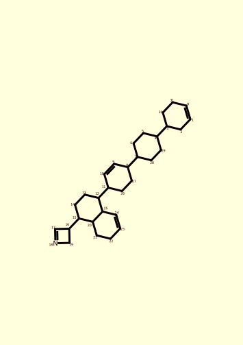 C1=CCC(C2CCC(C3C=CC(C4CCC(C5C=NC5)C5CCC=CC45)CC3)CC2)CC1